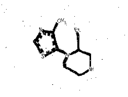 CCC1CNCCN1c1scnc1C